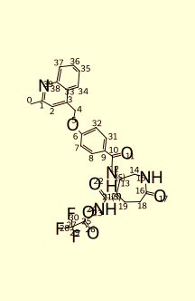 Cc1cc(COc2ccc(C(=O)N[C@@H]3CNC(=O)CC[C@@H]3C(=O)NOC(=O)C(F)(F)F)cc2)c2ccccc2n1